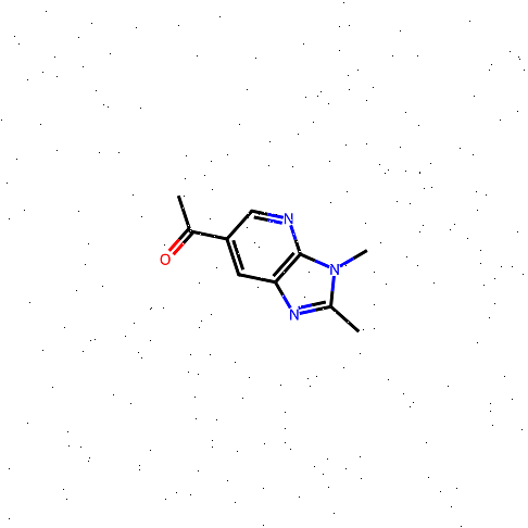 CC(=O)c1cnc2c(c1)nc(C)n2C